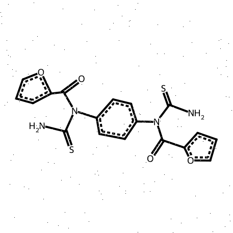 NC(=S)N(C(=O)c1ccco1)c1ccc(N(C(=O)c2ccco2)C(N)=S)cc1